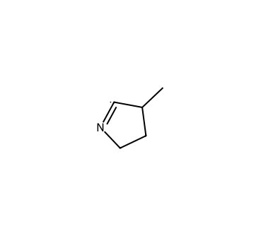 CC1[C]=NCC1